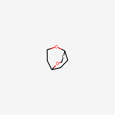 C1CC2CCC(CCO2)O1